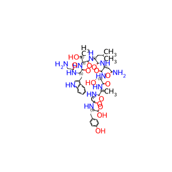 CC(C)C[C@H](NC(=O)[C@@H](NC(=O)[C@H](Cc1c[nH]c2ccccc12)NC(=O)CN)[C@@H](C)O)C(=O)N[C@@H](CC(N)=O)C(=O)N[C@@H](CO)C(=O)N[C@@H](C)C(=O)NCC(=O)N[C@@H](Cc1ccc(O)cc1)C(=O)O